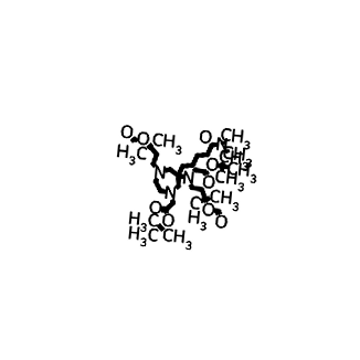 CN(C)C(=O)CCCCC1(N(CCC(C)(C)OC=O)CC(=O)OC(C)(C)C)CN(CCC(C)(C)OC=O)CCN(CC(=O)OC(C)(C)C)C1